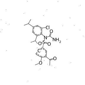 COc1ccc(S(=O)(=O)N(C(N)=O)c2c(Cl)cc(C(C)C)cc2C(C)C)cc1C(C)=O